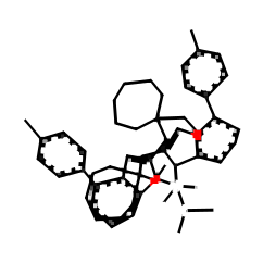 CCC1(CC2=Cc3c(-c4ccc(C)cc4)cccc3[CH]2[Zr]([Cl])([Cl])([CH]2C(CC3(CC)CCCCCC3)=Cc3c(-c4ccc(C)cc4)cccc32)[SiH](C)C)CCCCCC1